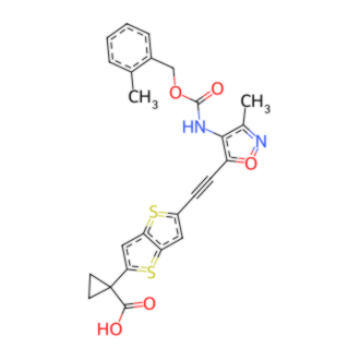 Cc1ccccc1COC(=O)Nc1c(C)noc1C#Cc1cc2sc(C3(C(=O)O)CC3)cc2s1